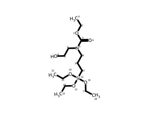 CCOC(=O)N(CCO)CCC[Si](OCC)(OCC)OCC